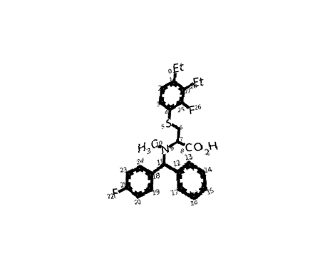 CCc1ccc(SCC(C(=O)O)N(C)C(c2ccccc2)c2ccc(F)cc2)c(F)c1CC